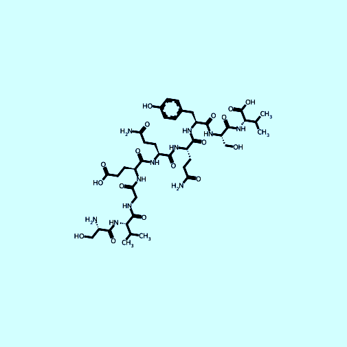 CC(C)[C@H](NC(=O)[C@H](CO)NC(=O)[C@H](Cc1ccc(O)cc1)NC(=O)[C@H](CCC(N)=O)NC(=O)[C@H](CCC(N)=O)NC(=O)[C@H](CCC(=O)O)NC(=O)CNC(=O)[C@@H](NC(=O)[C@@H](N)CO)C(C)C)C(=O)O